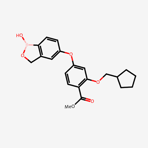 COC(=O)c1ccc(Oc2ccc3c(c2)COB3O)cc1OCC1CCCC1